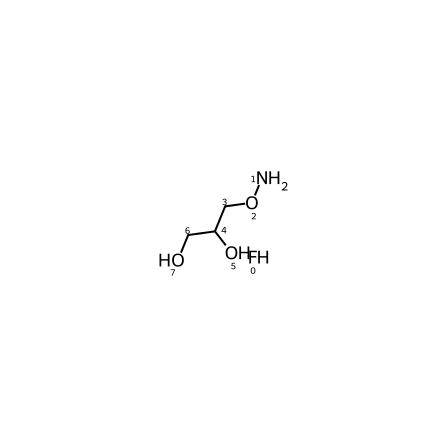 F.NOCC(O)CO